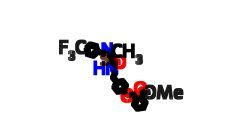 COC(=O)c1ccccc1COc1ccc(CCNC(=O)c2sc(-c3ccc(C(F)(F)F)cc3)nc2C)cc1